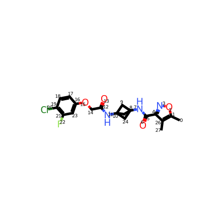 Cc1onc(C(=O)NC23CC(NC(=O)COc4ccc(Cl)c(F)c4)(C2)C3)c1C